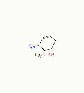 NC1C=CCCC1.O=C(O)O